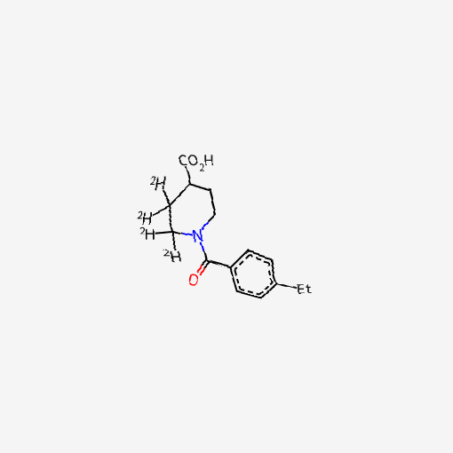 [2H]C1([2H])C(C(=O)O)CCN(C(=O)c2ccc(CC)cc2)C1([2H])[2H]